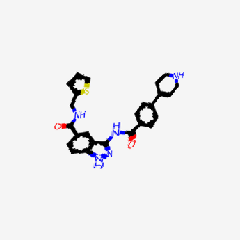 O=C(NCc1cccs1)c1ccc2[nH]nc(NC(=O)c3ccc(C4=CCNCC4)cc3)c2c1